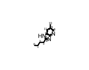 CCCCc1nc2ncc(C)cc2[nH]1